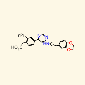 CCCc1cc(-c2cc(NCCc3ccc4c(c3)OCCO4)ncn2)ccc1CC(=O)O